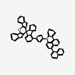 c1ccc(-c2ccccc2N(c2ccc(-c3cccc4c3-c3ccccc3C43c4ccc5ccccc5c4Oc4c3ccc3ccccc43)cc2)c2ccc(-c3cccc4ccccc34)cc2)cc1